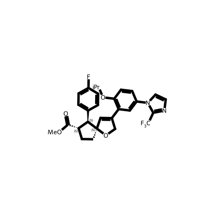 COC(=O)[C@H]1CC[C@@]2(C=C(c3cc(-n4ccnc4C(F)(F)F)ccc3OC(C)C)CO2)[C@@H]1c1ccc(F)cc1